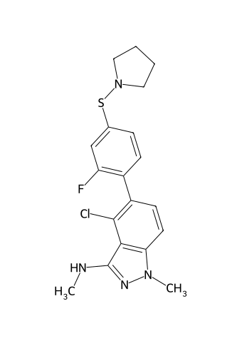 CNc1nn(C)c2ccc(-c3ccc(SN4CCCC4)cc3F)c(Cl)c12